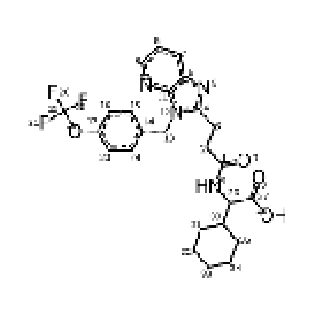 O=C(CCc1nc2cccnc2n1Cc1ccc(OC(F)(F)F)cc1)N[C@@H](C(=O)O)C1CCCCC1